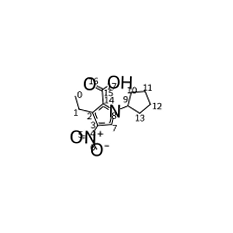 CCc1c([N+](=O)[O-])cn(C2CCCC2)c1C(=O)O